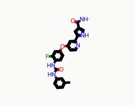 Cc1cccc(NC(=O)Nc2ccc(Oc3ccnc(-c4cc(C([NH])=O)c[nH]4)c3)cc2F)c1